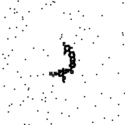 CCOc1cc(N)nc(C)c1CNC(=O)c1ccc2c(c1)C1OC2c2ccc(-c3c(C)cc(F)cc3F)cc21